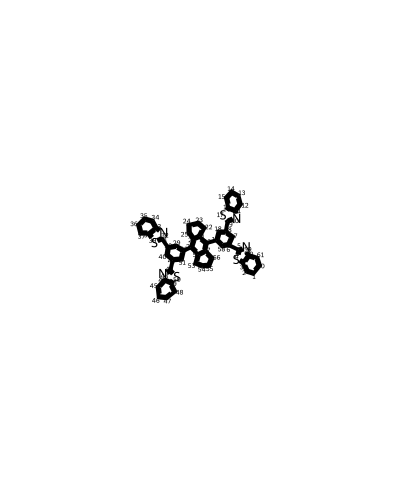 c1ccc2sc(-c3cc(-c4nc5ccccc5s4)cc(-c4c5ccccc5c(-c5cc(-c6nc7ccccc7s6)cc(-c6nc7ccccc7s6)c5)c5ccccc45)c3)nc2c1